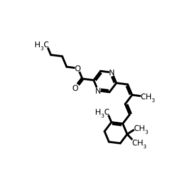 CCCCOC(=O)c1cnc(C=C(C)C=CC2=C(C)CCCC2(C)C)cn1